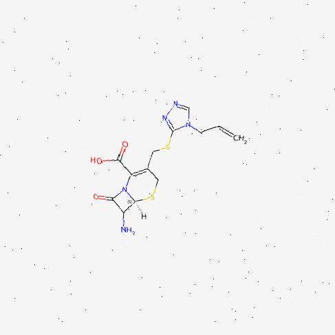 C=CCn1cnnc1SCC1=C(C(=O)O)N2C(=O)C(N)[C@@H]2SC1